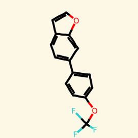 FC(F)(F)Oc1ccc(-c2ccc3ccoc3c2)cc1